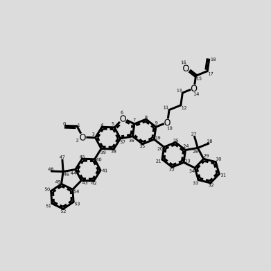 C=COc1cc2oc3cc(OCCCOC(=O)C=C)c(-c4ccc5c(c4)C(C)(C)c4ccccc4-5)cc3c2cc1-c1ccc2c(c1)C(C)(C)c1ccccc1-2